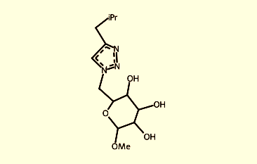 COC1OC(Cn2cc(CC(C)C)nn2)C(O)C(O)C1O